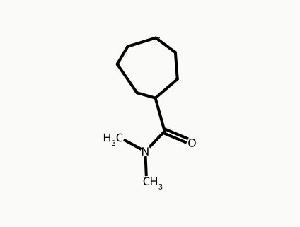 CN(C)C(=O)C1CC[CH]CCC1